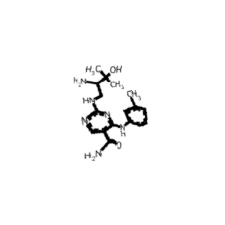 Cc1cccc(Nc2nc(NCC(N)C(C)(C)O)ncc2C(N)=O)c1